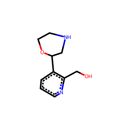 OCc1ncccc1C1CNCCO1